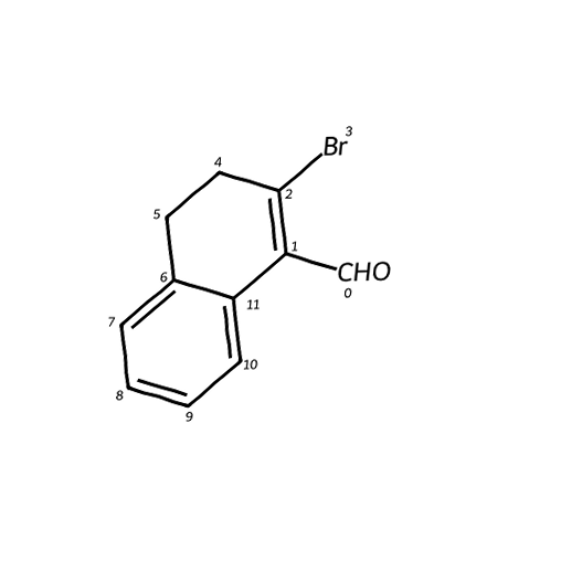 O=CC1=C(Br)CCc2ccccc21